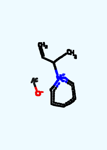 C=CC(C)[n+]1ccccc1.CC(=O)[O-]